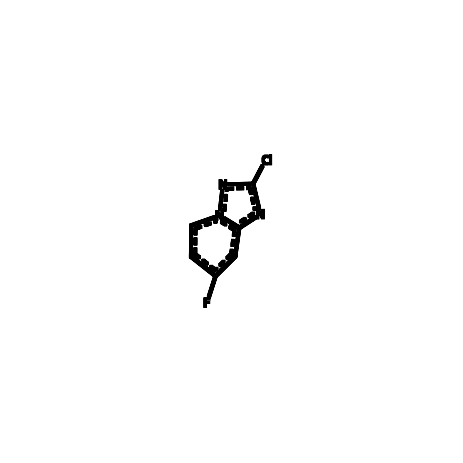 Fc1ccn2nc(Cl)nc2c1